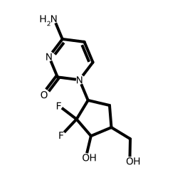 Nc1ccn(C2CC(CO)C(O)C2(F)F)c(=O)n1